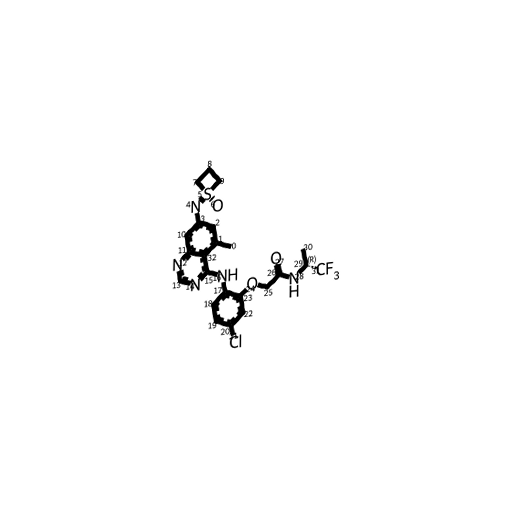 Cc1cc(N=S2(=O)CCC2)cc2ncnc(Nc3ccc(Cl)cc3OCC(=O)N[C@H](C)C(F)(F)F)c12